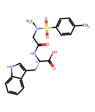 Cc1ccc(S(=O)(=O)N(C)CC(=O)N[C@@H](Cc2c[nH]c3ccccc23)C(=O)O)cc1